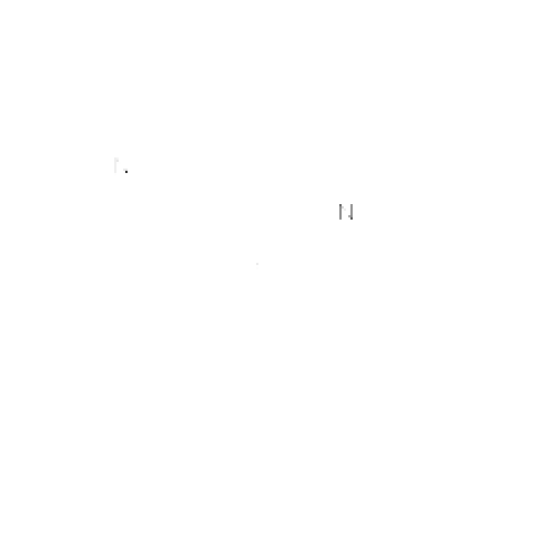 C=C(C)c1ncc(C#N)s1